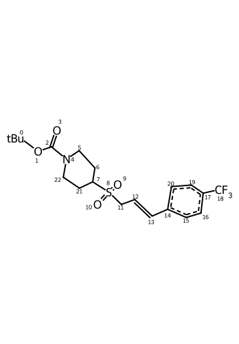 CC(C)(C)OC(=O)N1CCC(S(=O)(=O)CC=Cc2ccc(C(F)(F)F)cc2)CC1